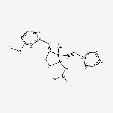 COc1cccc(/C=C2\CCC(CN(C)C)C2(O)C#Cc2ccccc2)c1